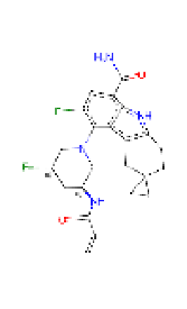 C=CC(=O)N[C@H]1C[C@H](F)CN(c2c(F)cc(C(N)=O)c3[nH]c4c(c23)CC2(CC4)CC2)C1